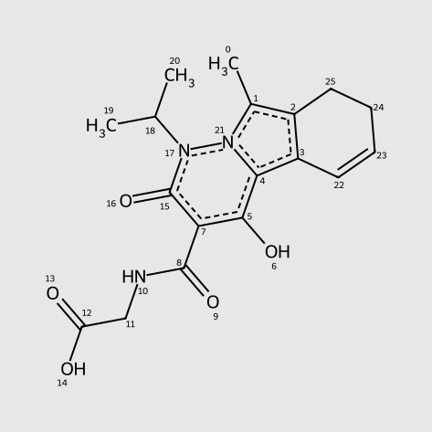 Cc1c2c(c3c(O)c(C(=O)NCC(=O)O)c(=O)n(C(C)C)n13)C=CCC2